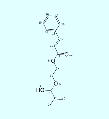 C=C(C)C(O)OCCOC(=O)/C=C/c1ccccc1